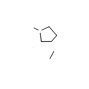 C[C@H]1[C@@H](CO)CCN1C